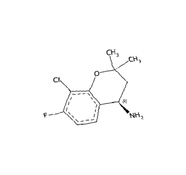 CC1(C)C[C@@H](N)c2ccc(F)c(Cl)c2O1